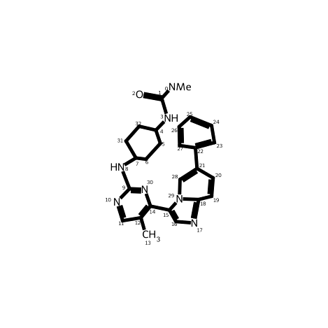 CNC(=O)NC1CCC(Nc2ncc(C)c(-c3cnc4ccc(-c5ccccc5)cn34)n2)CC1